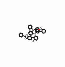 c1ccc(-c2nc3cc4c(cc3o2)oc2cccc(N(c3ccc5oc6ccccc6c5c3)c3cccc5c6ccccc6n(-c6ccccc6)c35)c24)cc1